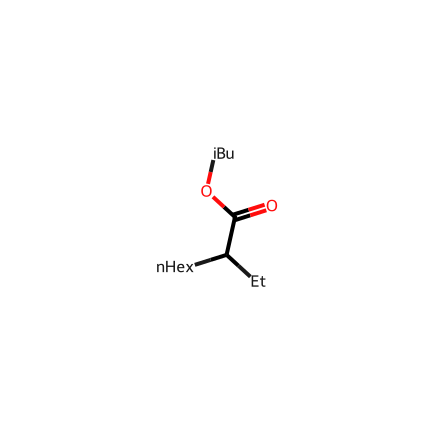 CCCCCCC(CC)C(=O)OC(C)CC